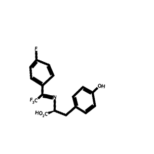 O=C(O)[C@H](Cc1ccc(O)cc1)/N=C(/c1ccc(F)cc1)C(F)(F)F